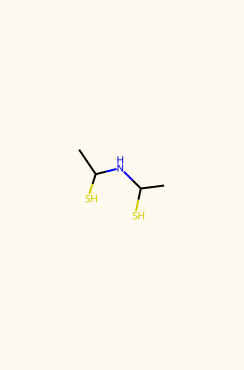 CC(S)NC(C)S